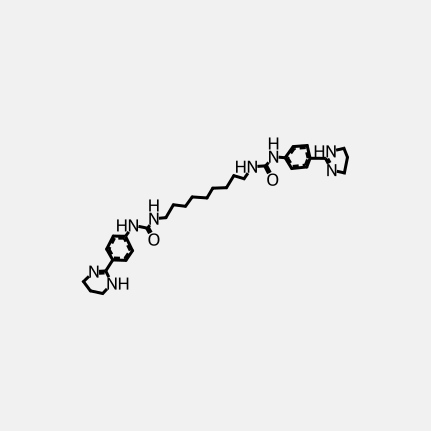 O=C(NCCCCCCCCCNC(=O)Nc1ccc(C2=NCCCN2)cc1)Nc1ccc(C2=NCCCN2)cc1